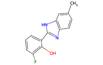 Cc1ccc2nc(-c3cccc(F)c3O)[nH]c2c1